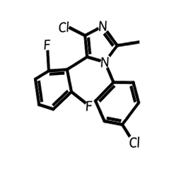 Cc1nc(Cl)c(-c2c(F)cccc2F)n1-c1ccc(Cl)cc1